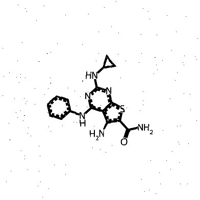 NC(=O)c1sc2nc(NC3CC3)nc(Nc3ccccc3)c2c1N